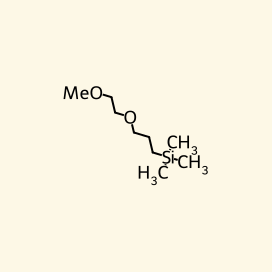 COCCOCCC[Si](C)(C)C